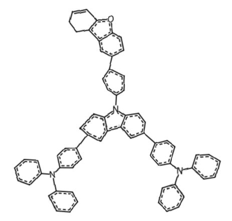 C1=Cc2oc3ccc(-c4ccc(-n5c6ccc(-c7ccc(N(c8ccccc8)c8ccccc8)cc7)cc6c6cc(-c7ccc(N(c8ccccc8)c8ccccc8)cc7)ccc65)cc4)cc3c2CC1